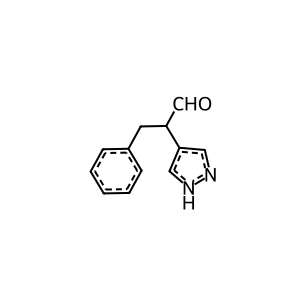 O=CC(Cc1ccccc1)c1cn[nH]c1